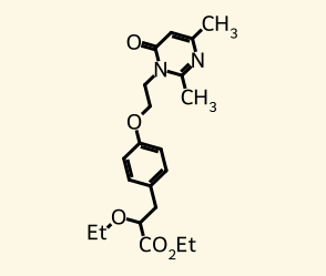 CCOC(=O)C(Cc1ccc(OCCn2c(C)nc(C)cc2=O)cc1)OCC